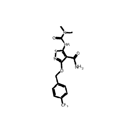 CN(C)C(=O)Nc1snc(OCc2ccc(C(F)(F)F)cc2)c1C(N)=O